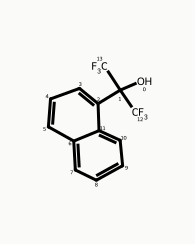 OC(c1cccc2ccccc12)(C(F)(F)F)C(F)(F)F